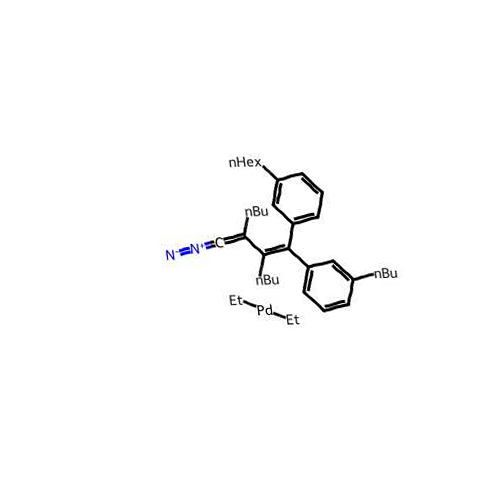 CCCCCCc1cccc(C(=C(CCCC)C(=C=[N+]=[N-])CCCC)c2cccc(CCCC)c2)c1.C[CH2][Pd][CH2]C